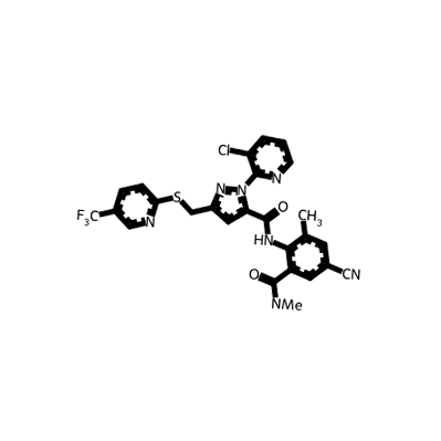 CNC(=O)c1cc(C#N)cc(C)c1NC(=O)c1cc(CSc2ccc(C(F)(F)F)cn2)nn1-c1ncccc1Cl